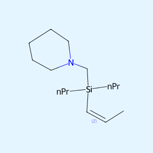 C/C=C\[Si](CCC)(CCC)CN1CCCCC1